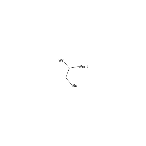 [CH2]C(CC)CC(CCC)C(C)CCC